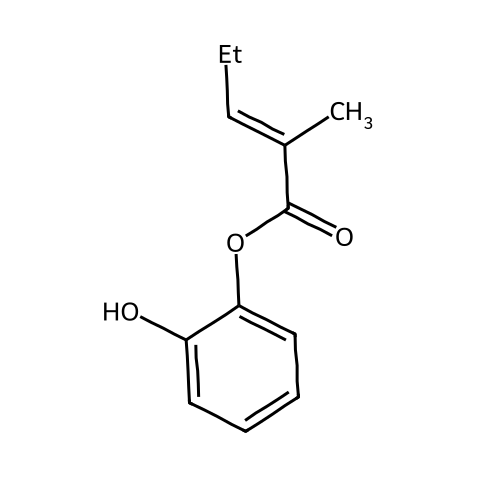 CCC=C(C)C(=O)Oc1ccccc1O